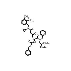 COC(CN(Cc1ccccc1)C(=O)[C@@H](CC(=O)CC(=O)N(Cc1cccc(C)c1C)C1CC1)NC(=O)OCc1ccccc1)OC